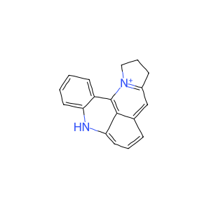 c1ccc2c(c1)Nc1cccc3cc4[n+](c-2c13)CCC4